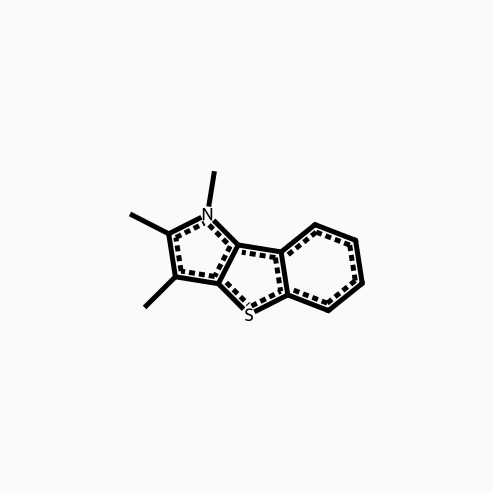 Cc1c(C)n(C)c2c1sc1ccccc12